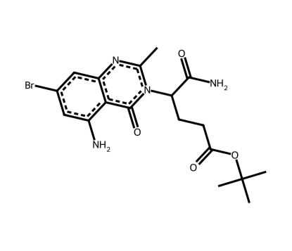 Cc1nc2cc(Br)cc(N)c2c(=O)n1C(CCC(=O)OC(C)(C)C)C(N)=O